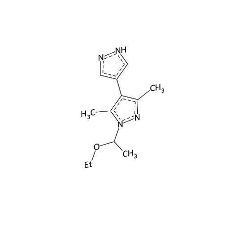 CCOC(C)n1nc(C)c(-c2cn[nH]c2)c1C